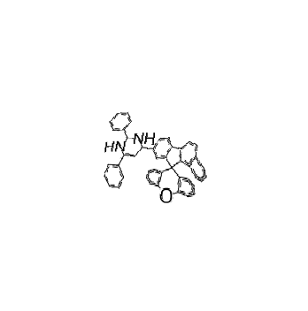 C1=C(c2ccccc2)NC(c2ccccc2)NC1c1ccc2c(c1)C1(c3ccccc3Oc3ccccc31)c1c-2ccc2ccccc12